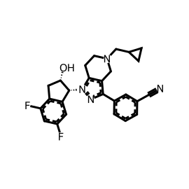 N#Cc1cccc(-c2nn([C@@H]3c4cc(F)cc(F)c4C[C@@H]3O)c3c2CN(CC2CC2)CC3)c1